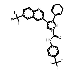 O=C(Nc1ccc(C(F)(F)F)cc1)n1cc(-c2cnc3ccc(C(F)(F)F)cc3c2)c(C2=CCCC=C2)n1